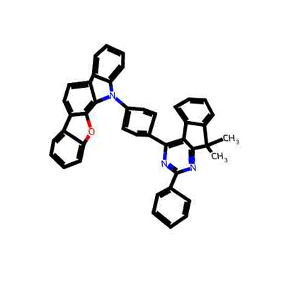 CC1(C)c2ccccc2-c2c(-c3ccc(-n4c5ccccc5c5ccc6c7ccccc7oc6c54)cc3)nc(-c3ccccc3)nc21